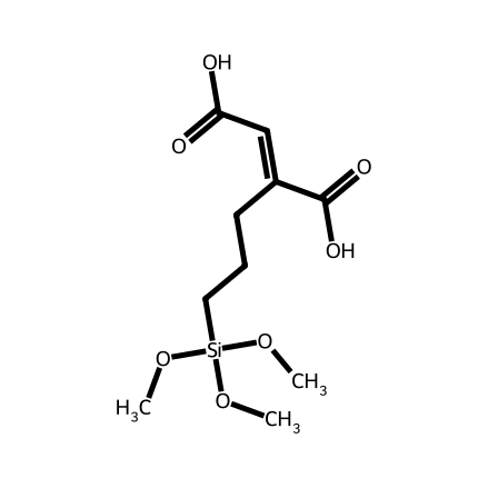 CO[Si](CCC/C(=C\C(=O)O)C(=O)O)(OC)OC